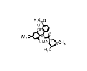 COC1=CC(O)C([C@H](CC(=O)N2CC(C)C[C@@H](C)C2)c2cccc(S(C)(=O)=O)c2)C(OC)=C1